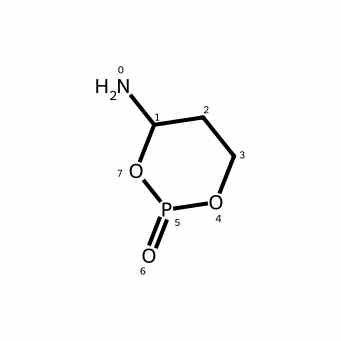 NC1CCO[P](=O)O1